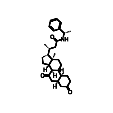 C[C@H](NC(=O)C[C@@H](C)[C@H]1CC[C@H]2[C@@H]3C(=O)C[C@@H]4CC(=O)CC[C@]4(C)[C@H]3CC[C@]12C)c1ccccc1